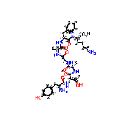 C[C@H](NC(=O)CNC(=O)[C@H](C)NC(=O)[C@@H](NC(=O)[C@@H](N)Cc1ccc(O)cc1)[C@@H](C)O)C(=O)N[C@@H](Cc1ccccc1)C(=O)N[C@@H](CCCCN)C(=O)O